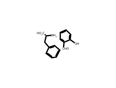 N[C@@H](Cc1ccccc1)C(=O)O.O=Cc1ccccc1O